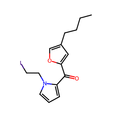 CCCCc1coc(C(=O)c2cccn2CCI)c1